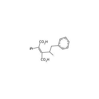 CC(C)C(C(=O)O)=C(C(=O)O)C(C)Cc1ccccc1